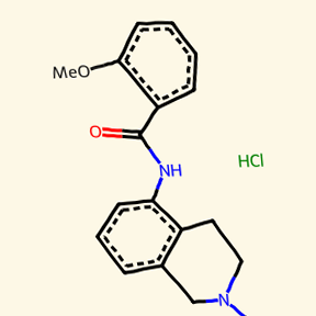 COc1ccccc1C(=O)Nc1cccc2c1CCN(C)C2.Cl